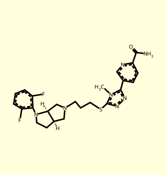 Cn1c(SCCCN2C[C@H]3CCN(c4c(F)cccc4F)[C@H]3C2)nnc1-c1ccc(C(N)=O)nc1